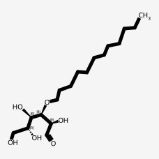 CCCCCCCCCCCCO[C@H]([C@H](O)[C@H](O)CO)[C@@H](O)C=O